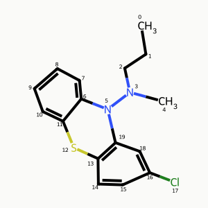 CCCN(C)N1c2ccccc2Sc2ccc(Cl)cc21